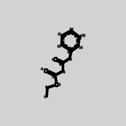 CCOC(=O)CC(=O)Cc1cccnc1